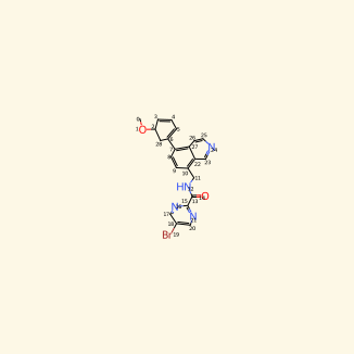 COC1C=CC=C(c2ccc(CNC(=O)c3ncc(Br)cn3)c3cnccc23)C1